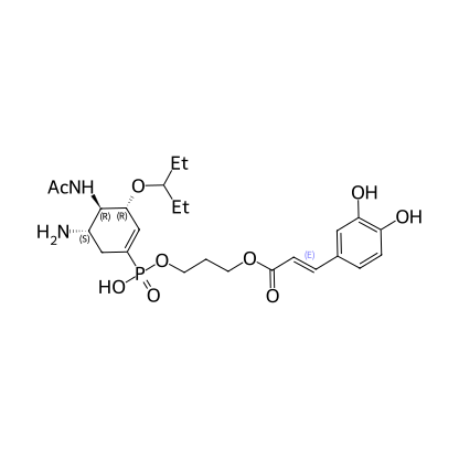 CCC(CC)O[C@@H]1C=C(P(=O)(O)OCCCOC(=O)/C=C/c2ccc(O)c(O)c2)C[C@H](N)[C@H]1NC(C)=O